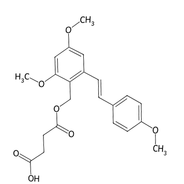 COc1ccc(/C=C/c2cc(OC)cc(OC)c2COC(=O)CCC(=O)O)cc1